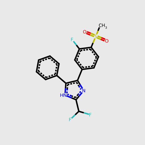 CS(=O)(=O)c1ccc(-c2nc(C(F)F)[nH]c2-c2ccccc2)cc1F